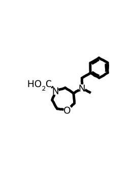 CN(Cc1ccccc1)C1COCCN(C(=O)O)C1